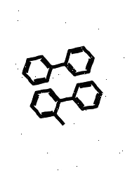 Cc1ccccc1-c1ccccc1.c1ccc(-c2ccccc2)cc1